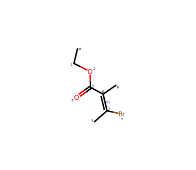 CCOC(=O)/C(C)=C(\C)Br